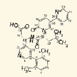 Cc1cccc(C)c1-c1cncc([C@H](CC(=O)O)NC(=O)[C@@H](CC(C)C)n2cc(-c3ccccn3)ccc2=O)c1